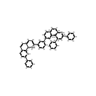 C1=Cc2ccc(-c3ccccc3)nc2C2NC(c3cccc(-c4ccc5ccc6nc(-c7ccccc7)cc(-c7ccccc7)c6c5c4)c3)=CC=C12